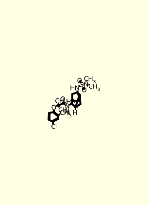 Cc1cc(Cl)ccc1OC(C)(C)C(=O)NC1[C@@H]2CC3C[C@H]1CC(NS(=O)(=O)N(C)C)(C3)C2